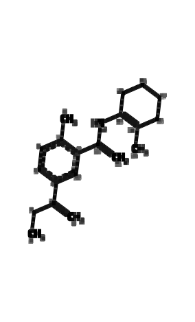 C=C(CC)c1ccc(C)c(C(=C)NC2=C(C)CCCC2)c1